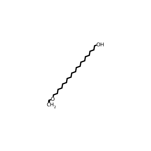 C=COCCCCCCCCCCCCCCCCCCCO